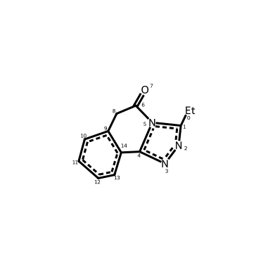 CCc1nnc2n1C(=O)Cc1ccccc1-2